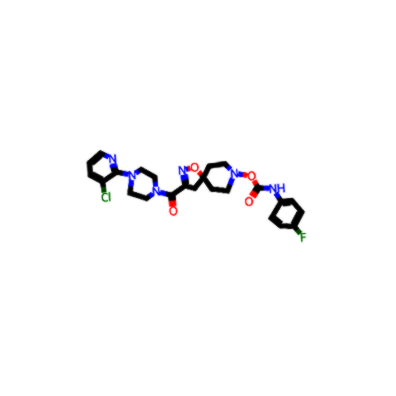 O=C(Nc1ccc(F)cc1)ON1CCC2(CC1)CC(C(=O)N1CCN(c3ncccc3Cl)CC1)=NO2